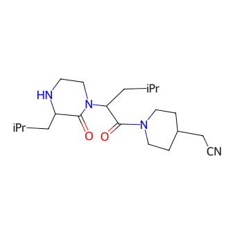 CC(C)CC1NCCN(C(CC(C)C)C(=O)N2CCC(CC#N)CC2)C1=O